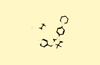 CC1(C)C(=O)N(c2ccc(N3CCCCC3)cc2)C(=O)N1Cc1ccncc1.O=C(O)C(F)(F)F